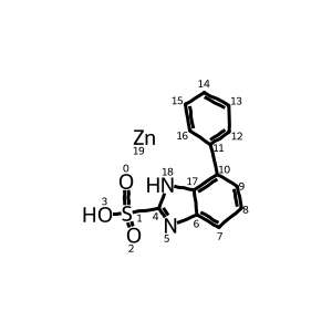 O=S(=O)(O)c1nc2cccc(-c3ccccc3)c2[nH]1.[Zn]